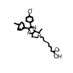 Cc1ccc(-c2nc3c(nc2-c2ccc(Cl)cc2)C(C)N(CCCCCCC(=O)O)CC3)cc1